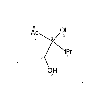 CC(=O)C(O)(CO)C(C)C